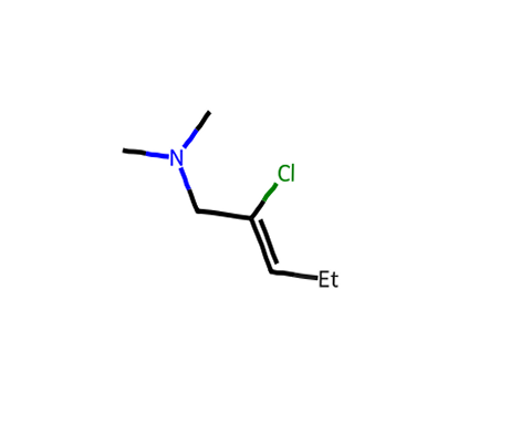 CC/C=C(\Cl)CN(C)C